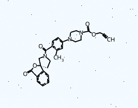 C#CCOC(=O)N1CCN(c2ccc(C(=O)N3CC[C@@]4(C3)OC(=O)c3ccccc34)c(C)c2)CC1